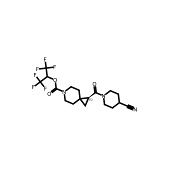 N#CC1CCN(C(=O)[C@H]2CC23CCN(C(=O)OC(C(F)(F)F)C(F)(F)F)CC3)CC1